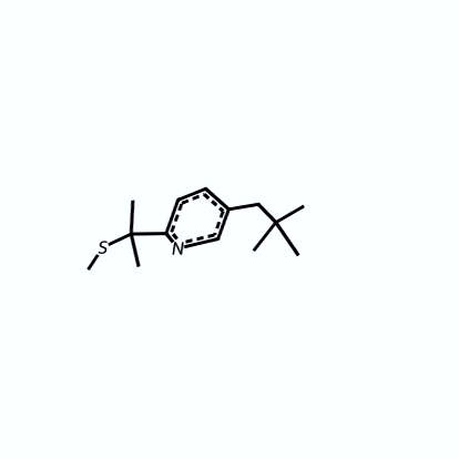 CSC(C)(C)c1ccc(CC(C)(C)C)cn1